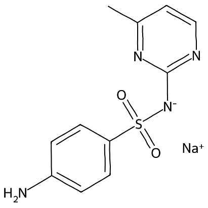 Cc1ccnc([N-]S(=O)(=O)c2ccc(N)cc2)n1.[Na+]